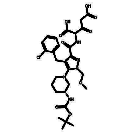 COCn1nc(C(=O)NC(C(=O)O)C(=O)CC(=O)O)c(Cc2ccccc2Cl)c1N1CCC[C@@H](NC(=O)OC(C)(C)C)C1